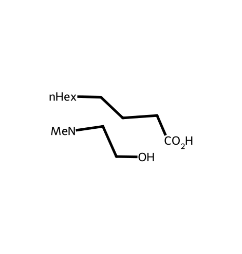 CCCCCCCCCC(=O)O.CNCCO